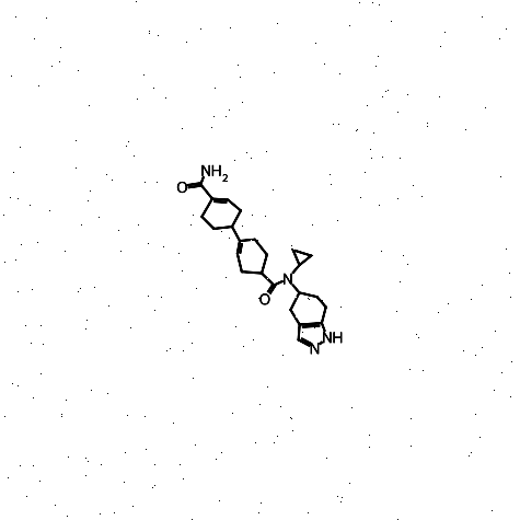 NC(=O)C1=CCC(C2=CCC(C(=O)N(C3CC3)C3CCc4[nH]ncc4C3)CC2)CC1